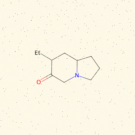 CCC1CC2CCCN2CC1=O